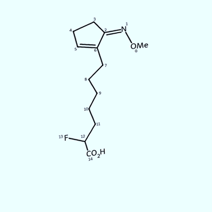 CON=C1CCC=C1CCCCCC(F)C(=O)O